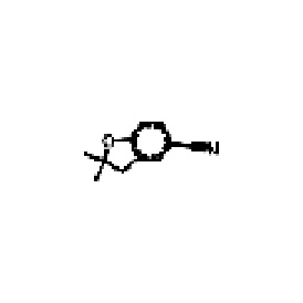 CC1(C)Cc2cc(C#N)ccc2O1